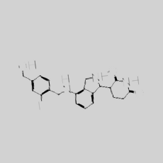 O=C1CCC(C2NCc3c(NCc4ccc(CO)cc4F)cccc32)C(=O)N1